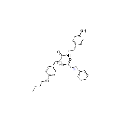 CCCCOc1ccc(C[C@H](NC(=O)/C=C/c2ccccc2)C(=O)NCCc2ccc(O)cc2)cc1